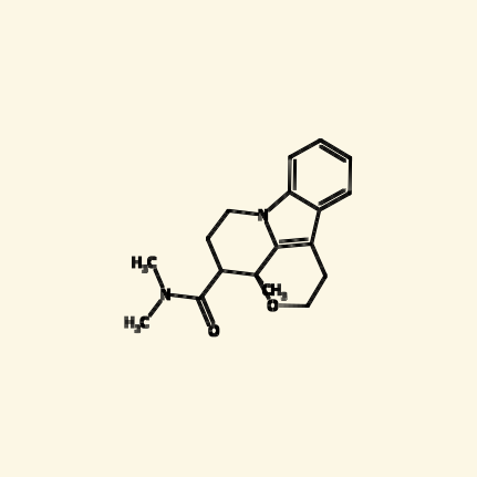 CN(C)C(=O)C1CCn2c3c(c4ccccc42)CCOC31C